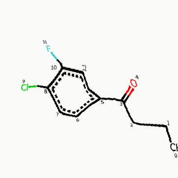 CCCC(=O)c1ccc(Cl)c(F)c1